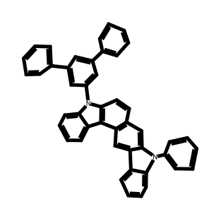 c1ccc(-c2cc(-c3ccccc3)cc(-n3c4ccccc4c4c5cc6c7ccccc7n(-c7ccccc7)c6cc5ccc43)c2)cc1